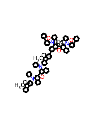 Cc1ccccc1N(c1cc2c3cc(N(c4ccccc4C)c4cccc5c4oc4ccccc45)c4ccc(-c5ccc6c(c5)C(C)(C)c5cc(N(c7ccccc7)c7cc8c9cc(N(c%10ccccc%10)c%10ccc%11c(c%10)C(C)(C)c%10ccccc%10-%11)c%10ccccc%10c9oc8c8ccccc78)ccc5-6)cc4c3oc2c2ccccc12)c1cccc2c1oc1ccccc12